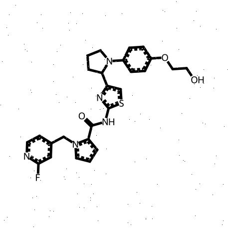 O=C(Nc1nc(C2CCCN2c2ccc(OCCO)cc2)cs1)c1cccn1Cc1ccnc(F)c1